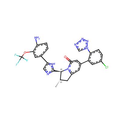 C[C@H]1Cc2cc(-c3cc(Cl)ccc3-n3cnnn3)cc(=O)n2[C@@H]1c1ncc(-c2ccc(N)c(OC(F)(F)F)c2)[nH]1